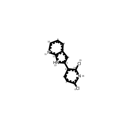 Clc1ccc(-c2[c]c3cccnc3[nH]2)c(Cl)n1